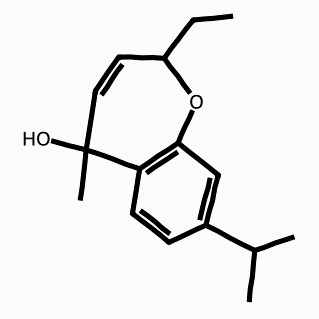 CCC1C=CC(C)(O)c2ccc(C(C)C)cc2O1